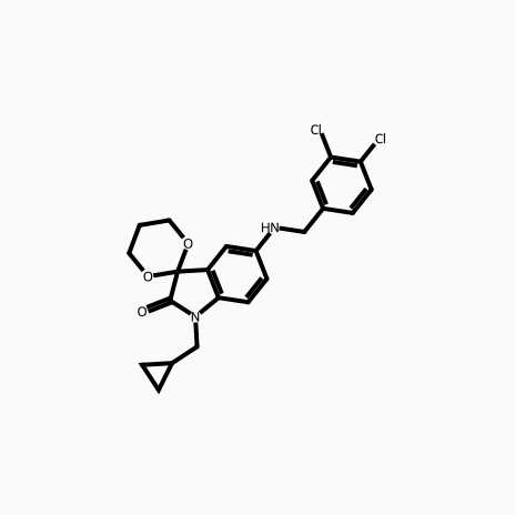 O=C1N(CC2CC2)c2ccc(NCc3ccc(Cl)c(Cl)c3)cc2C12OCCCO2